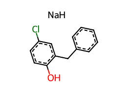 Oc1ccc(Cl)cc1Cc1ccccc1.[NaH]